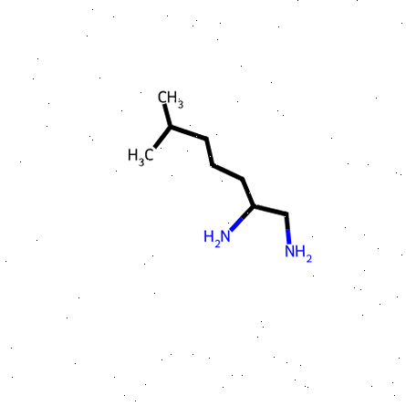 CC(C)CCCC(N)CN